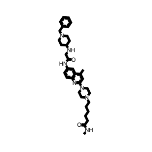 CNC(=O)CCCCCN1CCN(c2cc(C)c3cc(NC(=O)CNC4CCN(Cc5ccccc5)CC4)ccc3n2)CC1